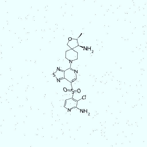 C[C@@H]1OCC2(CCN(c3ncc(S(=O)(=O)c4ccnc(N)c4Cl)c4nsnc34)CC2)[C@@H]1N